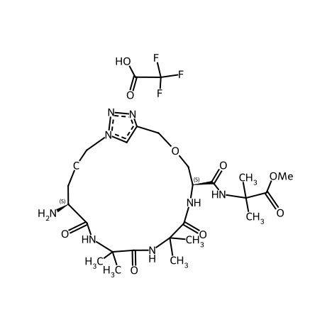 COC(=O)C(C)(C)NC(=O)[C@@H]1COCc2cn(nn2)CCC[C@H](N)C(=O)NC(C)(C)C(=O)NC(C)(C)C(=O)N1.O=C(O)C(F)(F)F